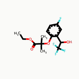 CCOC(=O)C(C)(C)Oc1ccc(F)cc1C(O)C(F)(F)F